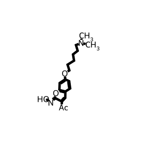 CC(=O)c1cc2ccc(OCCCCCCN(C)C)cc2oc1=NO